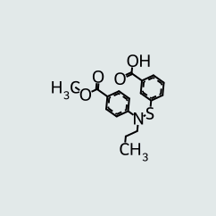 CCCN(Sc1cccc(C(=O)O)c1)c1ccc(C(=O)OC)cc1